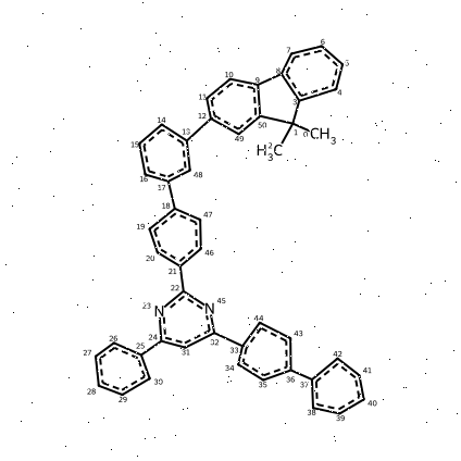 CC1(C)c2ccccc2-c2ccc(-c3cccc(-c4ccc(-c5nc(-c6ccccc6)cc(-c6ccc(-c7ccccc7)cc6)n5)cc4)c3)cc21